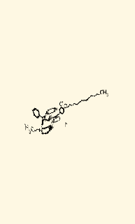 CCCCCCCCCCCCOc1ccc(C(=O)N(Cc2cccc[n+]2CCC)C(=O)c2ccccc2)cc1Cl.[I-]